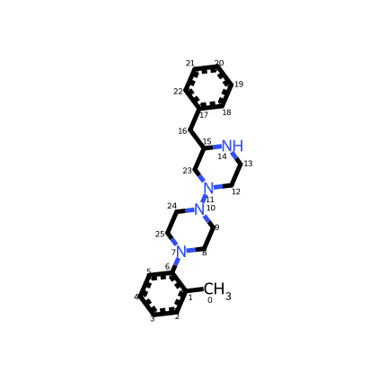 Cc1ccccc1N1CCN(N2CCNC(Cc3ccccc3)C2)CC1